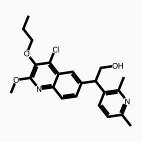 CCCOc1c(OC)nc2ccc(C(CO)c3ccc(C)nc3C)cc2c1Cl